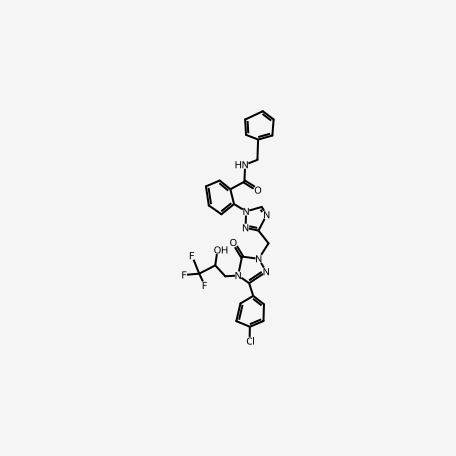 O=C(NCc1ccccc1)c1ccccc1-n1cnc(Cn2nc(-c3ccc(Cl)cc3)n(CC(O)C(F)(F)F)c2=O)n1